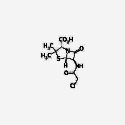 CC1(C)S[C@H]2[C@H](NC(=O)CCl)C(=O)N2[C@H]1C(=O)O